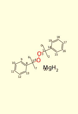 CC(C)(OOC(C)(C)c1ccccc1)c1ccccc1.[MgH2]